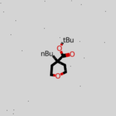 CCCCC1(C(=O)OC(C)(C)C)CCOCC1